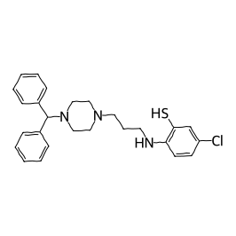 Sc1cc(Cl)ccc1NCCCN1CCN(C(c2ccccc2)c2ccccc2)CC1